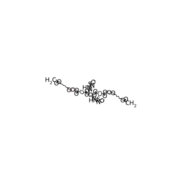 C=CC(=O)OCCCCCCOc1ccc(OC(=O)C2CCC(C(=O)Oc3cc(/C=N/Nc4nc5ccccc5s4)c(OC(=O)C4CCC(C(=O)Oc5ccc(OCCCCCCOC(=O)C=C)cc5)CC4)cc3/C=N/Nc3nc4ccccc4s3)CC2)cc1